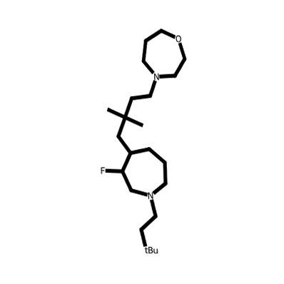 CC(C)(C)CCN1CCCC(CC(C)(C)CCN2CCCOCC2)C(F)C1